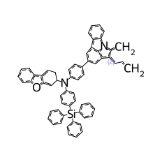 C=C/C=c1\c(=C)n2c3ccccc3c3cc(-c4ccc(N(c5ccc([Si](c6ccccc6)(c6ccccc6)c6ccccc6)cc5)C5C=c6oc7ccccc7c6=CC5)cc4)cc1c32